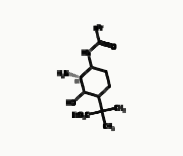 CCCC(=O)NC1CCC(C(C)(C)C(=O)OCC)C(O)[C@@H]1N